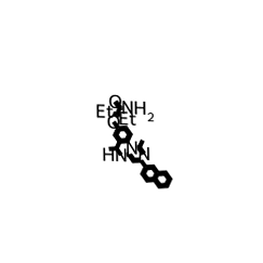 CCC(CC)(Oc1cccc(C(C)Nc2cc(-c3ccc4ccccc4c3)nc(C)n2)c1)C(N)=O